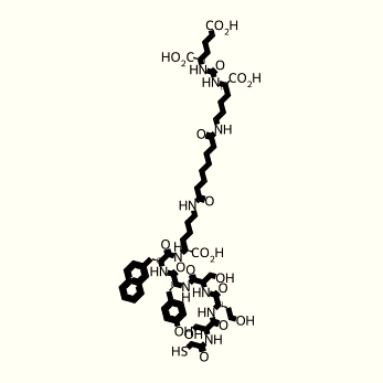 O=C(O)CCC[C@H](NC(=O)N[C@@H](CCCCNC(=O)CCCCCCC(=O)NCCCC[C@@H](NC(=O)[C@@H](Cc1ccc2ccccc2c1)NC(=O)[C@@H](Cc1ccc(O)cc1)NC(=O)C(CO)NC(=O)[C@H](CCO)NC(=O)C(CO)NC(=O)CS)C(=O)O)C(=O)O)C(=O)O